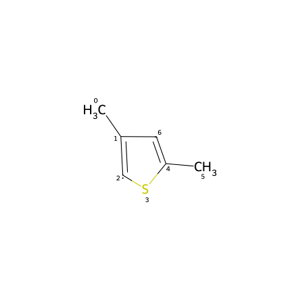 Cc1[c]sc(C)c1